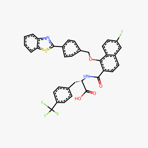 O=C(N[C@@H](Cc1ccc(C(F)(F)F)cc1)C(=O)O)c1ccc2cc(F)ccc2c1OCc1ccc(-c2nc3ccccc3s2)cc1